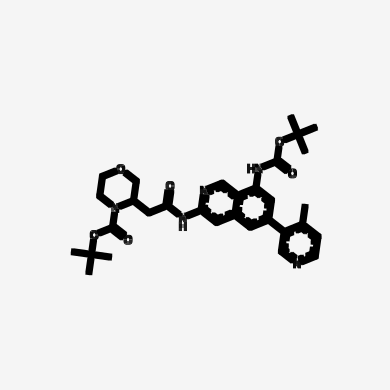 Cc1ccncc1-c1cc(NC(=O)OC(C)(C)C)c2cnc(NC(=O)CC3COCCN3C(=O)OC(C)(C)C)cc2c1